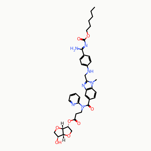 CCCCCCOC(=O)/N=C(\N)c1ccc(NCc2nc3cc(C(=O)N(CCC(=O)O[C@@H]4CO[C@H]5[C@@H]4OC[C@@H]5O)c4ccccn4)ccc3n2C)cc1